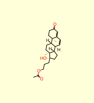 CC(=O)OCCC[C@]1(O)CC[C@H]2[C@@H]3C=CC4=CC(=O)CC[C@]4(C)[C@H]3CC[C@@]21C